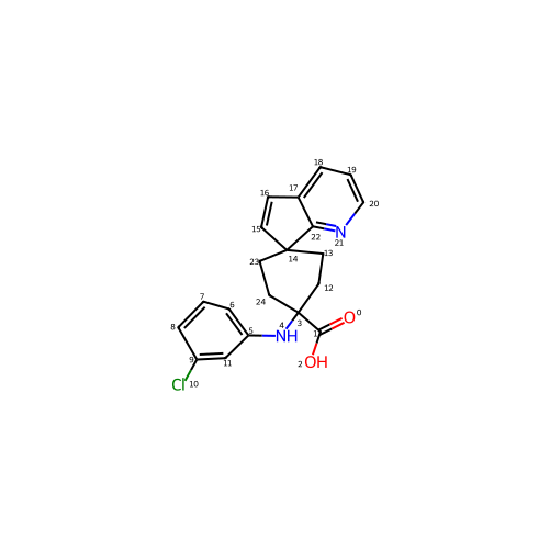 O=C(O)C1(Nc2cccc(Cl)c2)CCC2(C=Cc3cccnc32)CC1